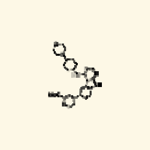 COc1cc(-c2ccc3[nH]c4ncnc(N[C@H]5CC[C@H](N6CCOCC6)CC5)c4c3c2)ccn1